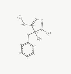 O=C(O)C(O)(Cc1ccccc1)C(=O)OO